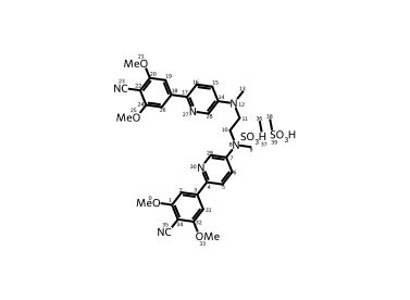 COc1cc(-c2ccc(N(C)CCN(C)c3ccc(-c4cc(OC)c(C#N)c(OC)c4)nc3)cn2)cc(OC)c1C#N.CS(=O)(=O)O.CS(=O)(=O)O